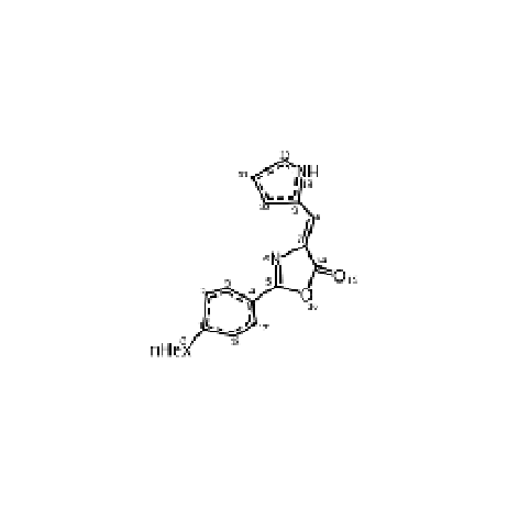 CCCCCCc1ccc(C2=N/C(=C\c3ccc[nH]3)C(=O)O2)cc1